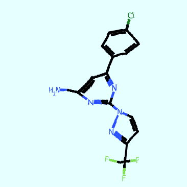 Nc1cc(-c2ccc(Cl)cc2)nc(-n2ccc(C(F)(F)F)n2)n1